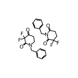 O=C1CCC(F)(F)C(=O)N1Cc1ccccc1.O=C1CCN(Cc2ccccc2)C(=O)C1(F)F